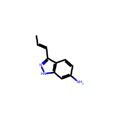 CC=Cc1n[nH]c2cc(N)ccc12